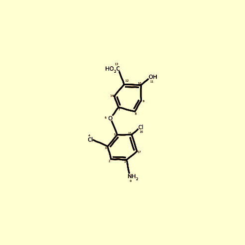 Nc1cc(Cl)c(Oc2ccc(O)c(C(=O)O)c2)c(Cl)c1